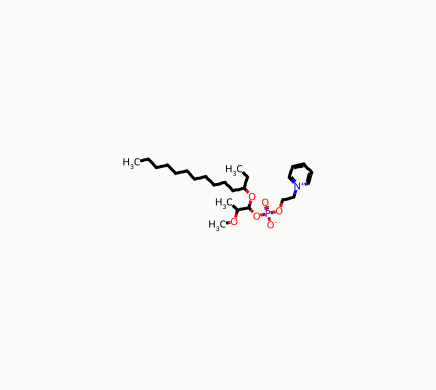 CCCCCCCCCCCC(CC)OC(OP(=O)([O-])OCC[n+]1ccccc1)C(C)OC